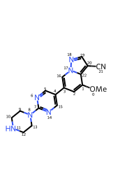 COc1cc(-c2cnc(N3CCNCC3)nc2)cn2ncc(C#N)c12